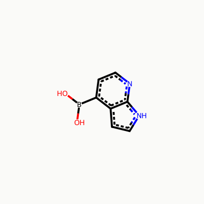 OB(O)c1ccnc2[nH]ccc12